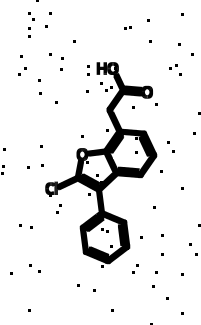 O=C(O)Cc1cccc2c(-c3ccccc3)c(Cl)oc12